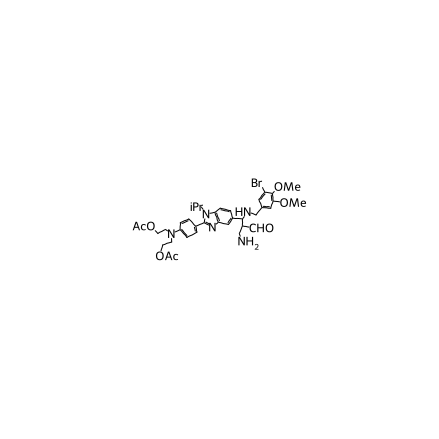 COc1cc(CNC(c2ccc3c(c2)nc(-c2ccc(N(CCOC(C)=O)CCOC(C)=O)cc2)n3C(C)C)C(C=O)CN)cc(Br)c1OC